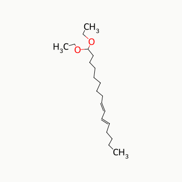 CCCCC=CC=CCCCCCCCC(OCC)OCC